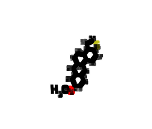 COc1ccc2cc3c(ccc4c5ccsc5ccc34)cc2c1